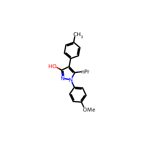 CCCc1c(-c2ccc(C)cc2)c(O)nn1-c1ccc(OC)cc1